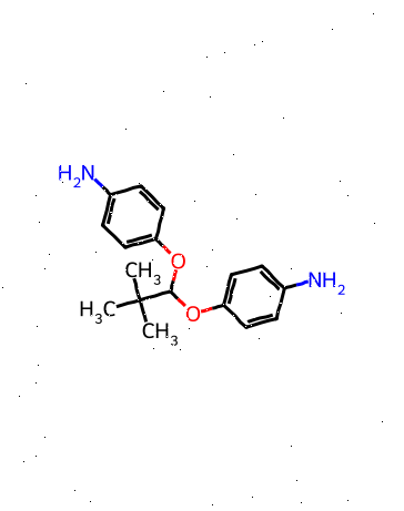 CC(C)(C)C(Oc1ccc(N)cc1)Oc1ccc(N)cc1